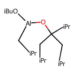 CC(C)C[O][Al]([CH2]C(C)C)[O]C(CC(C)C)(CC(C)C)C(C)C